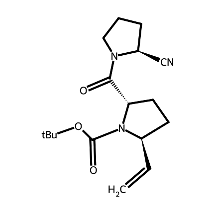 C=C[C@@H]1CC[C@@H](C(=O)N2CCC[C@H]2C#N)N1C(=O)OC(C)(C)C